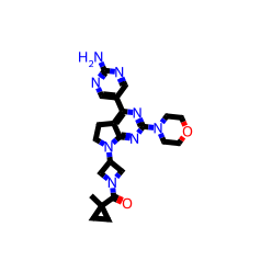 CC1(C(=O)N2CC(N3CCc4c(-c5cnc(N)nc5)nc(N5CCOCC5)nc43)C2)CC1